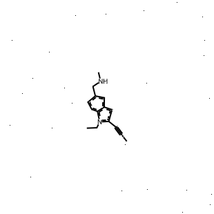 CC#Cc1cc2cc(CNC)ccc2n1CC